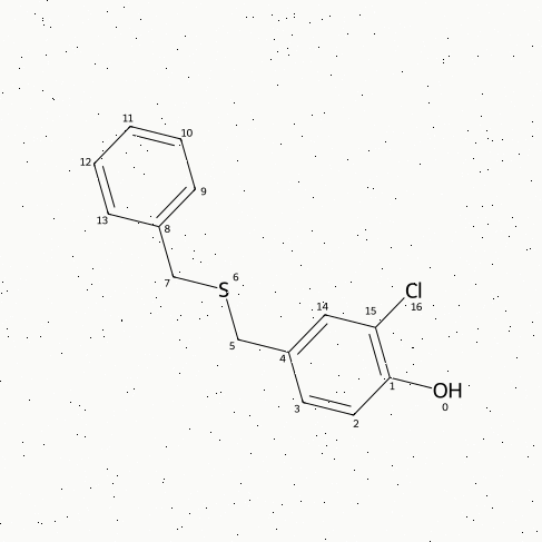 Oc1ccc(CSCc2ccccc2)cc1Cl